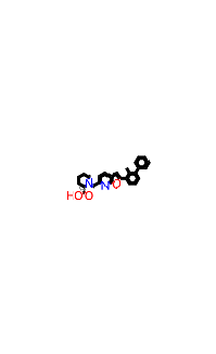 Cc1c(-c2ccccc2)cccc1-c1cc2ccc(CN3CCCC[C@H]3C(=O)O)nc2o1